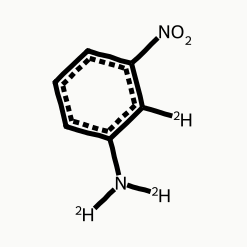 [2H]c1c(N([2H])[2H])cccc1[N+](=O)[O-]